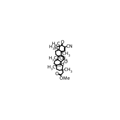 COC(=O)C[C@@]1(C)CC[C@]2(C)CC[C@]3(C)C(C(=O)C=C4[C@@]5(C)C=C(C#N)C(=O)C(C)(C)[C@@H]5CC[C@]43C)[C@@H]2C1